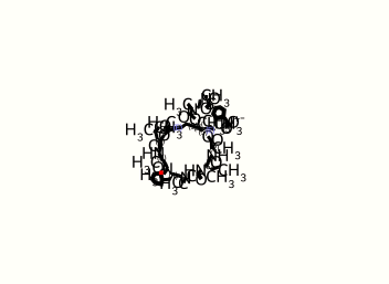 C/C=C(\C)[C@H]1OC(=O)[C@@H](C)NC(=O)[C@H](C(C)CC)NC(=O)CN(C)C(=O)[C@@H](Cc2ccccc2)N(C)C(=O)[C@H](C)NC(=O)[C@@H](CC(C)C)OC(=O)/C(C)=C/C[C@H](OC(=O)N(C)CCN(C)S(=O)(=O)c2ccc([N+](=O)[O-])cc2)[C@@H]1C